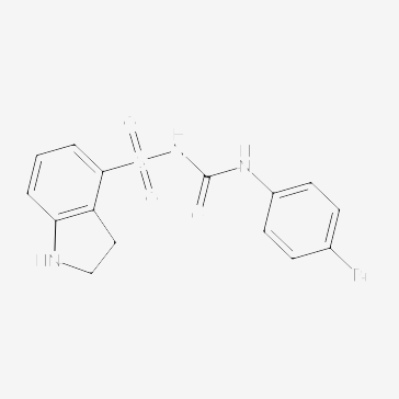 O=C(Nc1ccc(Br)cc1)NS(=O)(=O)c1cccc2c1CCN2